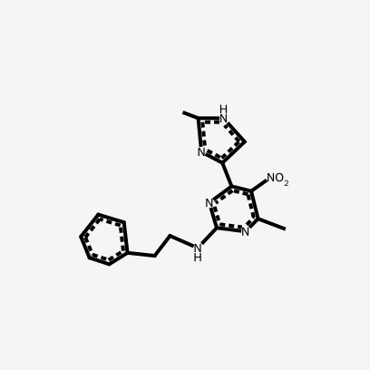 Cc1nc(-c2nc(NCCc3ccccc3)nc(C)c2[N+](=O)[O-])c[nH]1